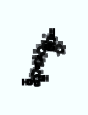 C[C@@H]1NC[C@H](c2ccccc2)S(=O)(=O)C1Cc1ccc(N2CCN(c3ccc(C(=O)O)c(O)c3)CC2)cc1F